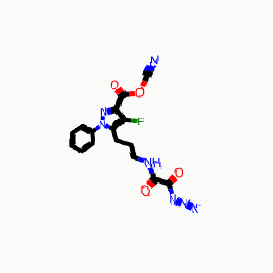 N#COC(=O)c1nn(-c2ccccc2)c(CCCNC(=O)C(=O)N=[N+]=[N-])c1F